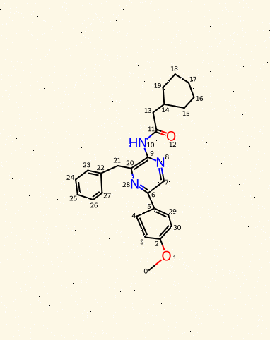 COc1ccc(-c2cnc(NC(=O)CC3CCCCC3)c(Cc3ccccc3)n2)cc1